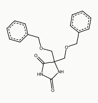 O=C1NC(=O)C(COCc2ccccc2)(COCc2ccccc2)N1